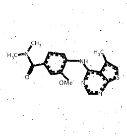 COc1cc(C(=O)N(C)C)ccc1Nc1ncnc2scc(C)c12